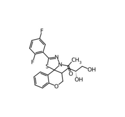 CC(=O)N1N=C(c2cc(F)ccc2F)SC12c1ccccc1OCC2C[C@@H](O)CO